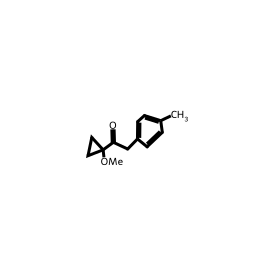 COC1(C(=O)Cc2ccc(C)cc2)CC1